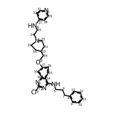 Clc1nc(NCCCc2ccccc2)c2ccc(OCC3CCN(CCNc4ccncc4)CC3)cc2n1